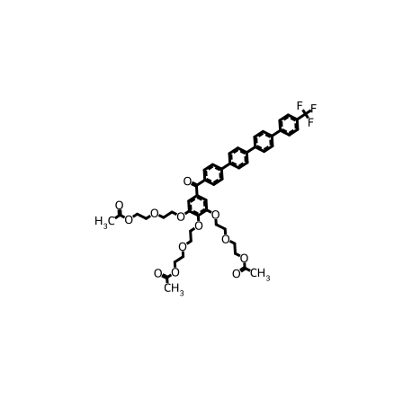 CC(=O)OCCOCCOc1cc(C(=O)c2ccc(-c3ccc(-c4ccc(-c5ccc(C(F)(F)F)cc5)cc4)cc3)cc2)cc(OCCOCCOC(C)=O)c1OCCOCCOC(C)=O